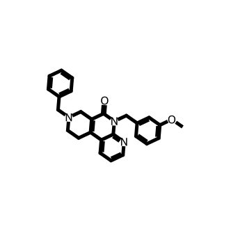 COc1cccc(Cn2c(=O)c3c(c4cccnc42)CCN(Cc2ccccc2)C3)c1